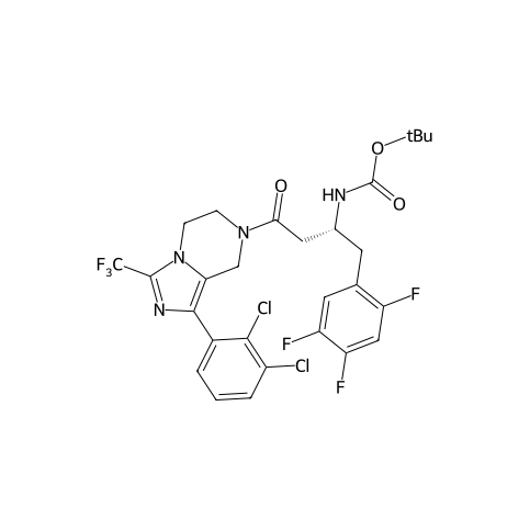 CC(C)(C)OC(=O)N[C@@H](CC(=O)N1CCn2c(C(F)(F)F)nc(-c3cccc(Cl)c3Cl)c2C1)Cc1cc(F)c(F)cc1F